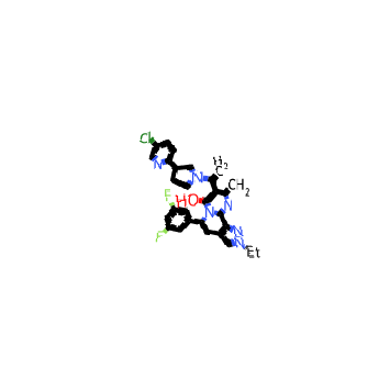 C=C1N=C2c3nn(CC)cc3CC(c3cc(F)cc(F)c3)N2C(O)=C1C(=C)N1CCC(c2ccc(Cl)cn2)C1